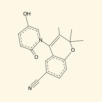 CC1=C(n2cc(O)ccc2=O)c2cc(C#N)ccc2OC1(C)C